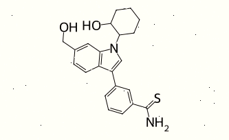 NC(=S)c1cccc(-c2cn(C3CCCCC3O)c3cc(CO)ccc23)c1